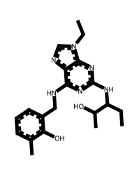 CCC(Nc1nc(NCc2cccc(C)c2O)c2ncn(CC)c2n1)C(C)O